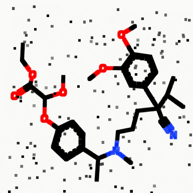 CCOC(=O)C(OC)Oc1ccc(C(C)N(C)CCCC(C#N)(c2ccc(OC)c(OC)c2)C(C)C)cc1